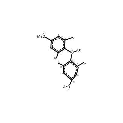 COc1cc(C)c([S+]([O-])c2c(C)cc(OC(C)=O)cc2C)c(C)c1